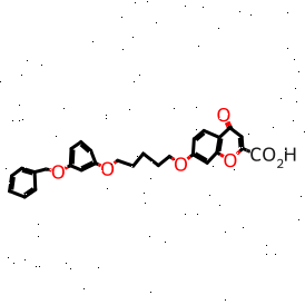 O=C(O)c1cc(=O)c2ccc(OCCCCCOc3cccc(OCc4ccccc4)c3)cc2o1